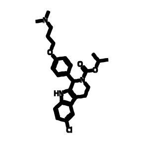 CC(C)OC(=O)N1CCc2c([nH]c3ccc(Cl)cc23)C1c1ccc(OCCCN(C)C)cc1